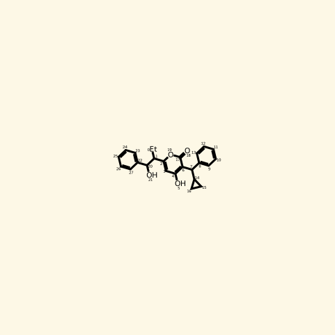 CCC(c1cc(O)c(C(c2ccccc2)C2CC2)c(=O)o1)C(O)c1ccccc1